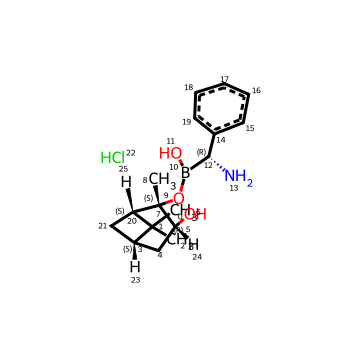 CC1(C)[C@@H]2C[C@@H](O)[C@@](C)(OB(O)[C@@H](N)c3ccccc3)[C@H]1C2.Cl